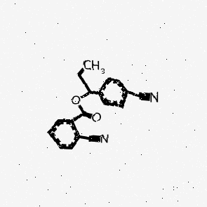 CCC(OC(=O)c1ccccc1C#N)c1ccc(C#N)cc1